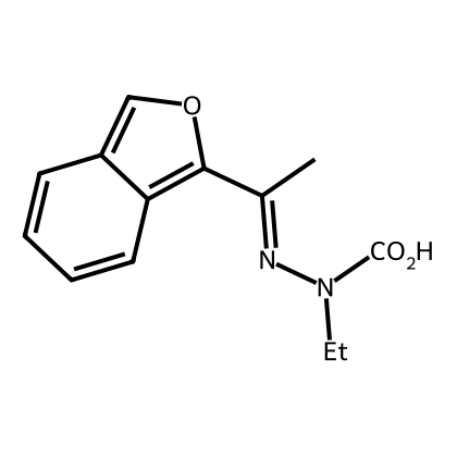 CCN(N=C(C)c1occ2ccccc12)C(=O)O